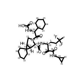 CC(F)(F)CC[C@H](NC(=O)[C@@H]1[C@@H]2[C@H](CN1C(=O)[C@@H](NC(=O)O)C1CCCCC1)C21CCCCC1)C(=O)C(=O)NC1CC1